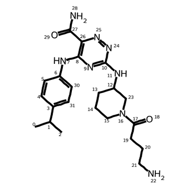 CC(C)c1ccc(Nc2nc(NC3CCCN(C(=O)CCCN)C3)nnc2C(N)=O)cc1